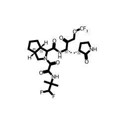 CC(C)(NC(=O)C(=O)N1C[C@@H]2CCC[C@@H]2C1C(=O)N[C@@H](C[C@@H]1CCNC1=O)C(=O)COC(F)(F)F)C(F)F